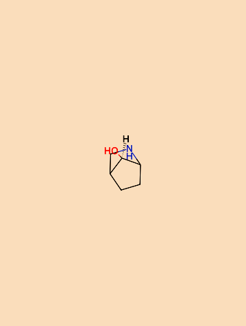 O[C@@H]1C2CCC1NC2